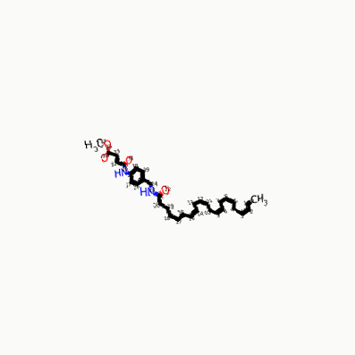 CC/C=C\C/C=C\C/C=C\C/C=C\C/C=C\C/C=C\CCC(=O)NCc1ccc(NC(=O)C=CC(=O)OC)cc1